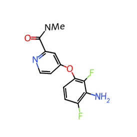 CNC(=O)c1cc(Oc2ccc(F)c(N)c2F)ccn1